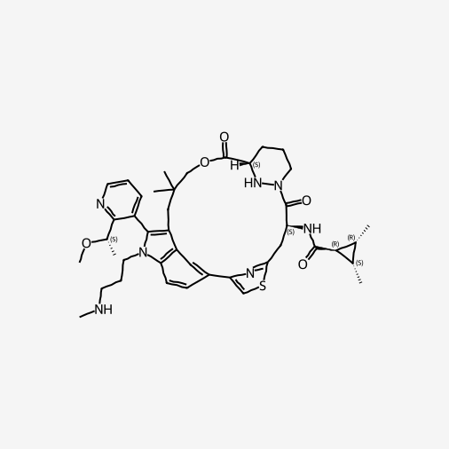 CNCCCn1c(-c2cccnc2[C@H](C)OC)c2c3cc(ccc31)-c1csc(n1)C[C@H](NC(=O)[C@H]1[C@H](C)[C@@H]1C)C(=O)N1CCC[C@H](N1)C(=O)OCC(C)(C)C2